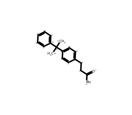 CCC(C)C(=O)CCc1ccc(C(C)(C)c2ccccc2)cc1